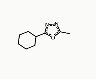 Cc1nnc(C2CCCCC2)o1